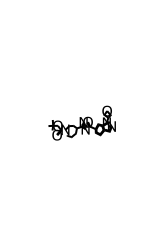 CC(C)(C)OC(=O)N1CCCC(c2noc(-c3ccc4cnn(C5COC5)c4c3)n2)CC1